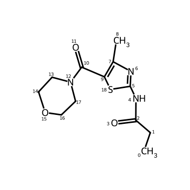 CCC(=O)Nc1nc(C)c(C(=O)N2CCOCC2)s1